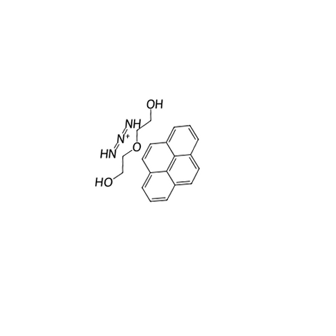 N=[N+]=N.OCCOCCO.c1cc2ccc3cccc4ccc(c1)c2c34